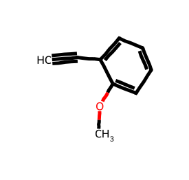 C#Cc1ccccc1OC